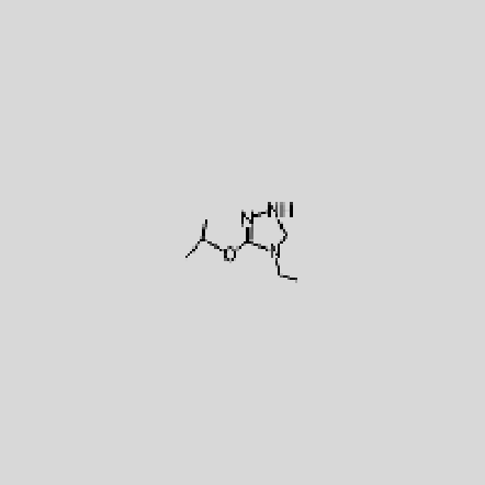 CCN1CNN=C1OC(C)C